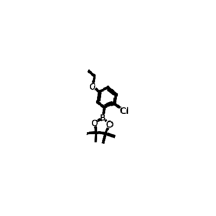 CCOc1ccc(Cl)c(B2OC(C)(C)C(C)(C)O2)c1